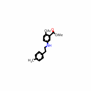 COC(=O)c1cc(NCCc2ccc(C)cc2)ccc1OC(C)=O